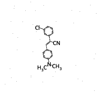 CN(C)c1ccc(/C=C(\C#N)c2cccc(Cl)c2)cc1